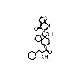 C[C@H](CC1CCCCC1)C(=O)N1CCC(O)(Cn2cnc3occc3c2=O)C2(CCCC2)C1